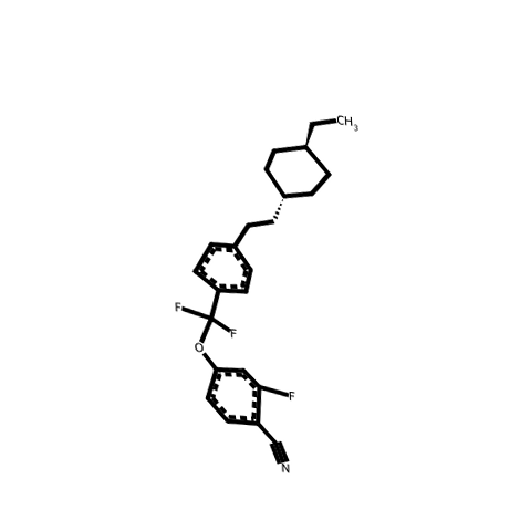 CC[C@H]1CC[C@H](CCc2ccc(C(F)(F)Oc3ccc(C#N)c(F)c3)cc2)CC1